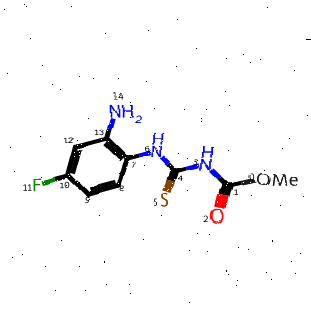 COC(=O)NC(=S)Nc1ccc(F)cc1N